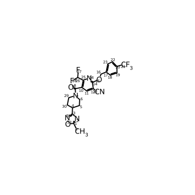 Cc1nc(C2CCN(C(=O)c3cc(C#N)c(OCc4ccc(C(F)(F)F)cc4)nc3C(F)F)CC2)no1